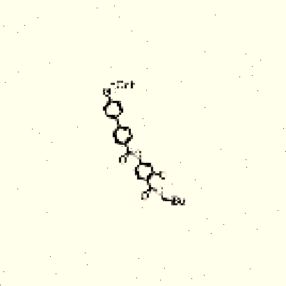 CCCCCCCCOc1ccc(-c2ccc(C(=O)Oc3ccc(C(=O)OCC(C)CC)c(Cl)c3)cc2)cc1